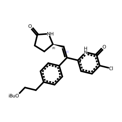 CC(C)COCCc1ccc(/C(=C\[C@H]2CCC(=O)N2)c2ccc(Cl)c(=O)[nH]2)cc1